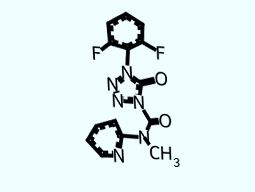 CN(C(=O)n1nnn(-c2c(F)cccc2F)c1=O)c1ccccn1